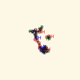 O=C(COCCOCCOCC(=O)Nc1ccccc1C(Nc1ccccn1)C(c1ccccn1)C(O)c1ccccc1)NCc1ccc(C2C(CCC(O)c3ccc(F)cc3)C(=O)N2c2ccc(F)cc2)cc1.O=C(O)C(F)(F)F